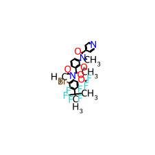 COc1c(C(=O)N(C(C)=O)c2c(Br)cc(C(C)(C(C)(F)F)C(F)(F)F)cc2OC(F)F)cccc1N(C)C(=O)c1ccncc1